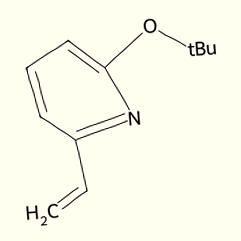 C=Cc1cccc(OC(C)(C)C)n1